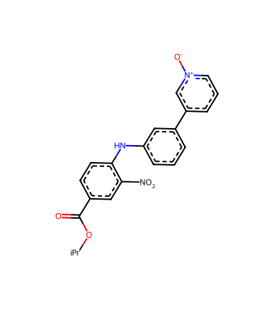 CC(C)OC(=O)c1ccc(Nc2cccc(-c3ccc[n+]([O-])c3)c2)c([N+](=O)[O-])c1